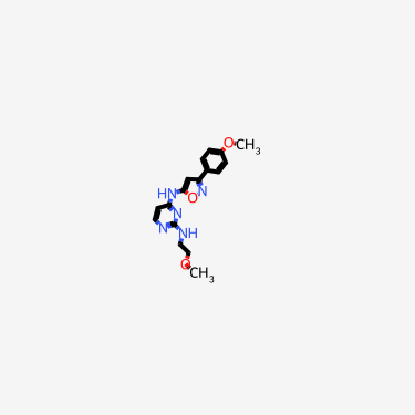 COCCNc1nccc(Nc2cc(-c3ccc(OC)cc3)no2)n1